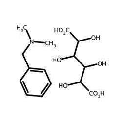 CN(C)Cc1ccccc1.O=C(O)C(O)C(O)C(O)C(O)C(=O)O